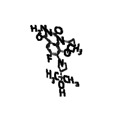 COc1c(N2CCC(C(C)(C)O)C2)c(F)cc2c(=O)n(N)c(=O)n(C3CC3)c12